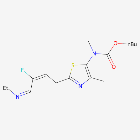 CCCCOC(=O)N(C)c1sc(C/C=C(F)\C=N/CC)nc1C